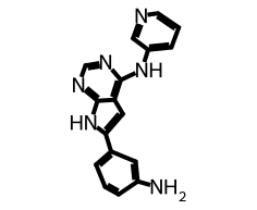 Nc1cccc(-c2cc3c(Nc4cccnc4)ncnc3[nH]2)c1